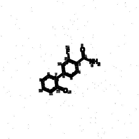 NC(=O)c1ccc(-n2ccccc2=O)cc1F